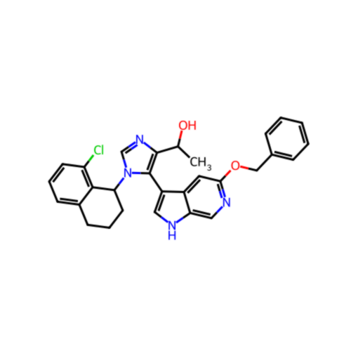 CC(O)c1ncn(C2CCCc3cccc(Cl)c32)c1-c1c[nH]c2cnc(OCc3ccccc3)cc12